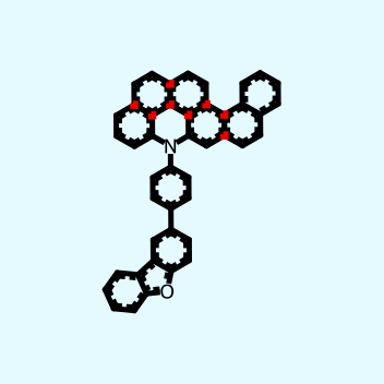 c1ccc(-c2ccccc2N(c2ccc(-c3ccc4oc5ccccc5c4c3)cc2)c2ccccc2-c2cccc(-c3cccc4ccccc34)c2)cc1